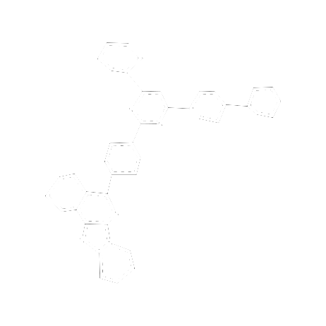 c1ccc(-c2ccc(-c3cc(-c4ccccc4)nc(-c4ccc(-c5nc6c(nc7ccccn76)c6ccccc56)cc4)n3)cc2)cc1